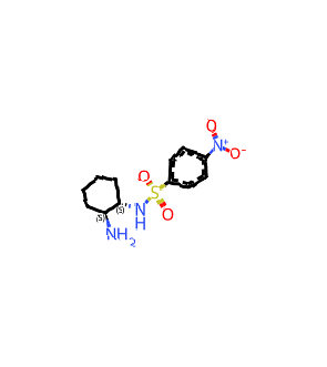 N[C@H]1CCCC[C@@H]1NS(=O)(=O)c1ccc([N+](=O)[O-])cc1